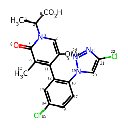 COc1cn(C(C)C(=O)O)c(=O)c(C)c1-c1cc(Cl)ccc1-n1cc(Cl)nn1